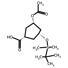 CC(=O)O[C@@H]1C[C@H](O[Si](C)(C)C(C)(C)C)C[C@H](C(=O)O)C1